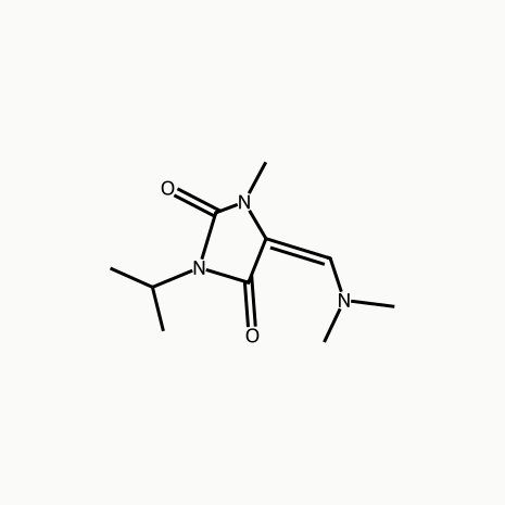 CC(C)N1C(=O)C(=CN(C)C)N(C)C1=O